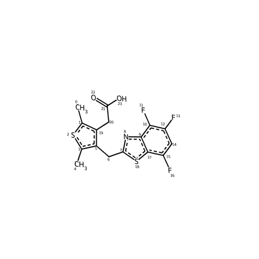 Cc1sc(C)c(Cc2nc3c(F)c(F)cc(F)c3s2)c1CC(=O)O